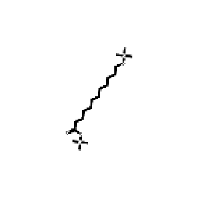 C[Si](C)(C)OCCCCCCCCCCCC(=O)O[Si](C)(C)C